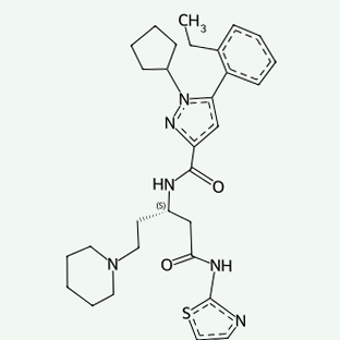 CCc1ccccc1-c1cc(C(=O)N[C@@H](CCN2CCCCC2)CC(=O)Nc2nccs2)nn1C1CCCC1